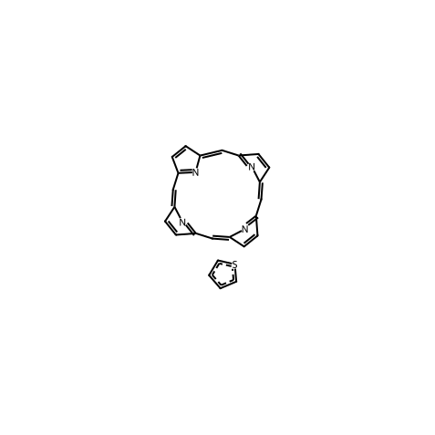 C1=CC2=NC1=CC1=NC(=CC3=NC(=CC4=NC(=C2)C=C4)C=C3)C=C1.c1ccsc1